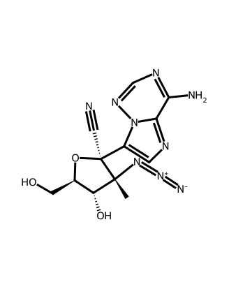 C[C@@]1(N=[N+]=[N-])[C@H](O)[C@@H](CO)O[C@@]1(C#N)c1cnc2c(N)ncnn12